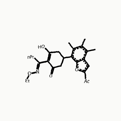 CCCC(=NOCC)C1=C(O)CC(c2c(C)c(C)c(C)c3cc(C(C)=O)oc23)CC1=O